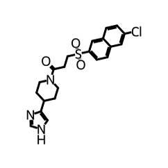 O=C(CCS(=O)(=O)c1ccc2cc(Cl)ccc2c1)N1CCC(c2c[nH]cn2)CC1